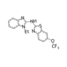 CCn1c(Nc2nc3ccc(OC(F)(F)F)cc3s2)nc2ccccc21